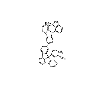 C=C/C=C(\C=C/C)C1(c2ccccc2)c2ccccc2-c2ccc(-c3ccc4c(c3)c3cccc5c3n4-c3ccccc3C5(C)C)cc21